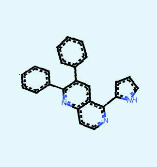 [c]1ccc(-c2nc3ccnc(-c4ccc[nH]4)c3cc2-c2ccccc2)cc1